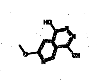 COc1cc2c(O)nnc(O)c2cn1